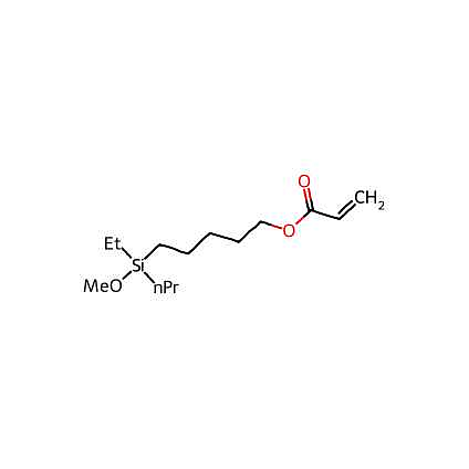 C=CC(=O)OCCCCC[Si](CC)(CCC)OC